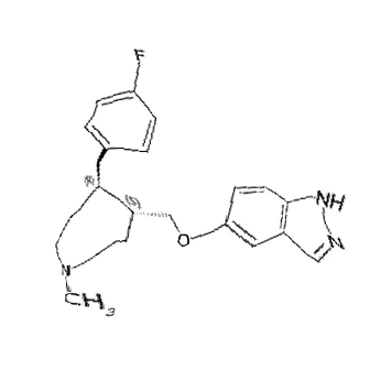 CN1CC[C@@H](c2ccc(F)cc2)[C@H](COc2ccc3[nH]ncc3c2)C1